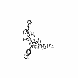 CC(=O)NCCNc1nc(-c2ccc(Cl)cc2)nc(NCCNC(=O)C=Cc2ccccc2)c1C